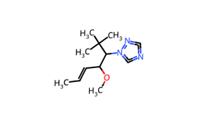 CC=CC(OC)C(n1cncn1)C(C)(C)C